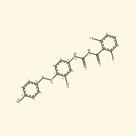 O=C(NC(=O)c1c(F)cccc1F)Nc1ccc(OCc2ccc(Cl)cc2)c(Cl)c1